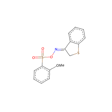 COc1ccccc1S(=O)(=O)ON=C1CSc2ccccc21